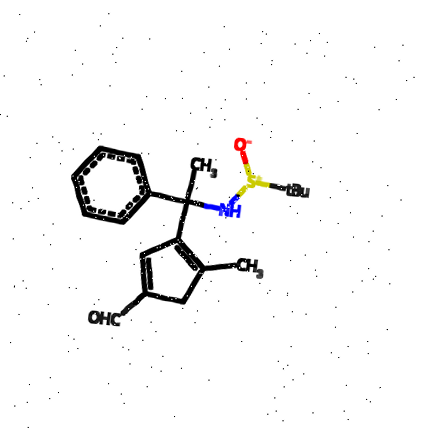 CC1=C(C(C)(N[S+]([O-])C(C)(C)C)c2ccccc2)C=C(C=O)C1